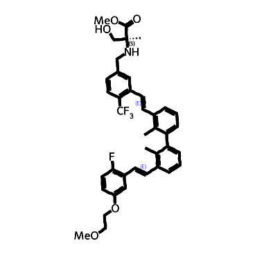 COCCOc1ccc(F)c(/C=C/c2cccc(-c3cccc(/C=C/c4cc(CN[C@@](C)(CO)C(=O)OC)ccc4C(F)(F)F)c3C)c2C)c1